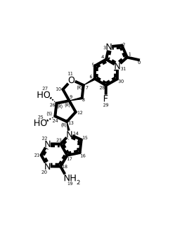 Cc1cnc2cc([C@H]3C[C@@]4(CO3)C[C@@H](n3ccc5c(N)ncnc53)[C@H](O)[C@@H]4O)c(F)cn12